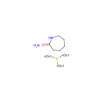 CCCCCCCCP(CCCCCCCC)CCCCCCCC.N.O=C1CCCCCN1